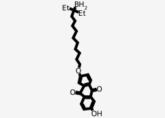 BC(CC)(CC)CCCCCCCCCCOc1ccc2c(c1)C(=O)c1ccc(O)cc1C2=O